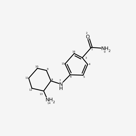 NC(=O)c1ccc(NC2CCCCC2N)cc1